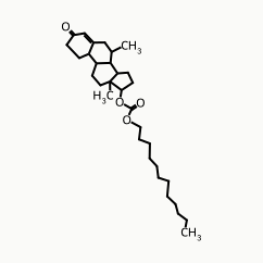 CCCCCCCCCCCCOC(=O)OC1CCC2C3C(C)CC4=CC(=O)CCC4C3CCC12C